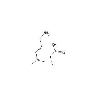 CCC(=O)O.CN(C)CCCN